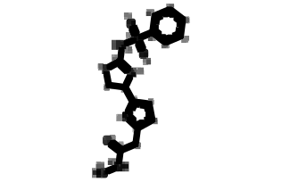 O=C(Cc1ccc(C2CSC(NS(=O)(=O)c3ccccc3)=N2)s1)NO